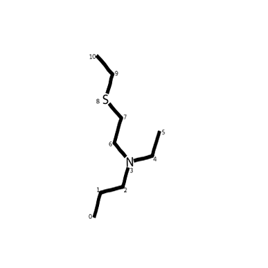 CCCN(CC)CCSCC